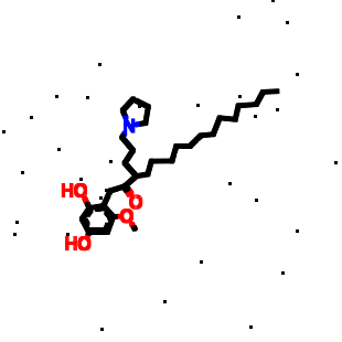 CCCCCCCCCCCCCC(CCCN1CCCC1)C(=O)Cc1c(O)cc(O)cc1OC